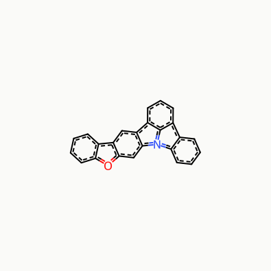 c1ccc2c(c1)oc1cc3c(cc12)c1cccc2c4ccccc4n3c21